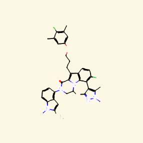 Cc1cc(OCCCc2c3n(c4c(-c5c(C)nn(C)c5C)c(Cl)ccc24)C(C)CN(c2cccc4c2cc(C#N)n4C)C3=O)cc(C)c1Cl